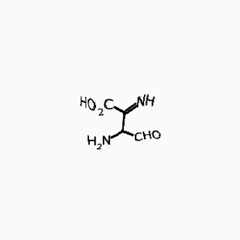 N=C(C(=O)O)C(N)C=O